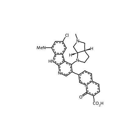 CNc1cc(Cl)cc2c1[nH]c1ncc(-c3ccc4ccc(C(=O)O)c(=O)n4c3)c(N3CC[C@H]4CN(C)C[C@H]43)c12